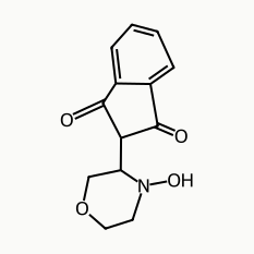 O=C1c2ccccc2C(=O)C1C1COCCN1O